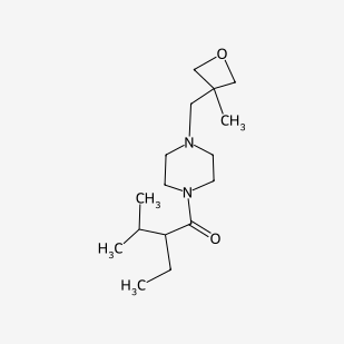 CCC(C(=O)N1CCN(CC2(C)COC2)CC1)C(C)C